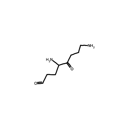 NCCCC(=O)C(N)CCC=O